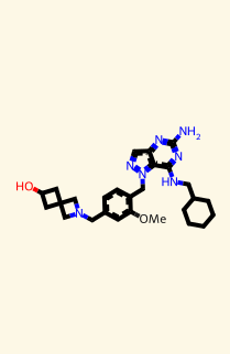 COc1cc(CN2CC3(CC(O)C3)C2)ccc1Cn1ncc2nc(N)nc(NCC3CCCCC3)c21